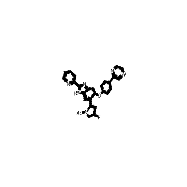 CC(=O)N1CC(F)CC1c1cc2[nH]c(-c3ccccn3)nc2cc1Oc1ccc(-c2cnccn2)cc1